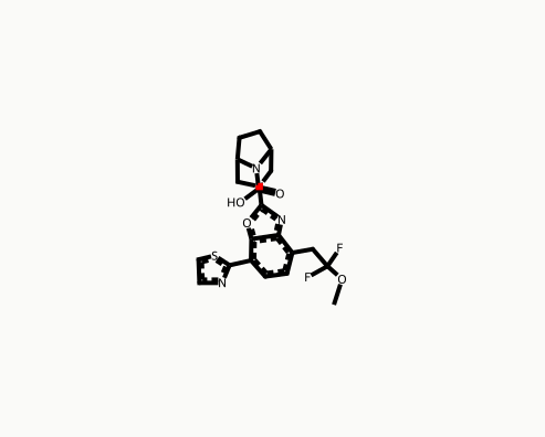 COC(F)(F)Cc1ccc(-c2nccs2)c2oc(N3CC4CCC(C3)N4C(=O)O)nc12